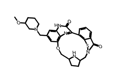 COC1CCCN(Cc2cc3c4nc(c(=O)[nH]c4c2)-c2cccc4c(=O)n(sc24)CC2CCC(CO3)N2)C1